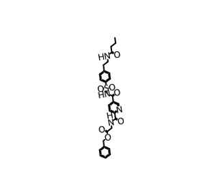 CCCC(=O)NCCc1ccc(S(=O)(=O)NC(=O)c2ccc(C(=O)NCC(=O)OCc3ccccc3)nc2)cc1